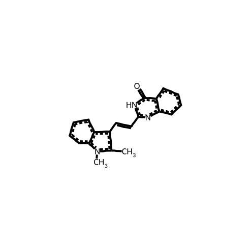 Cc1c(C=Cc2nc3ccccc3c(=O)[nH]2)c2ccccc2n1C